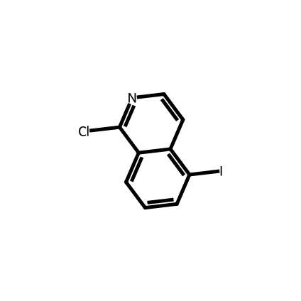 Clc1nccc2c(I)cccc12